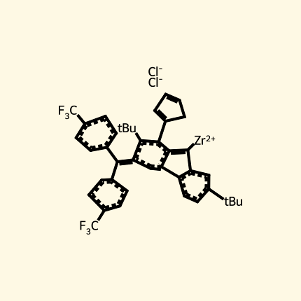 CC(C)(C)c1ccc2c(c1)[C]([Zr+2])=c1c-2cc(=C(c2ccc(C(F)(F)F)cc2)c2ccc(C(F)(F)F)cc2)c(C(C)(C)C)c1C1=CC=CC1.[Cl-].[Cl-]